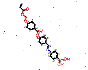 C=CC(=O)OCOc1ccc(C(=O)Oc2ccc(C=Nc3ccc(B(O)O)cc3)cc2)cc1